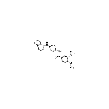 COc1ccc(C(=O)Nc2ccc(Nc3cccc4occc34)cc2)cc1OC